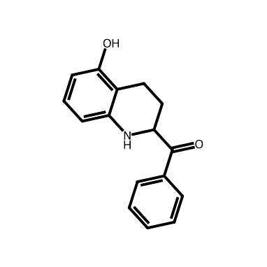 O=C(c1ccccc1)C1CCc2c(O)cccc2N1